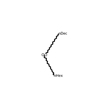 CCCCCCC=CCCCCCCCCCCCC(=O)OCCCCCCCCCCCCCCCCCCCCCCCCC